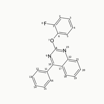 Fc1ccccc1Oc1nc(-c2ccccc2)c2ccccc2n1